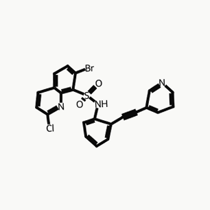 O=S(=O)(Nc1ccccc1C#Cc1cccnc1)c1c(Br)ccc2ccc(Cl)nc12